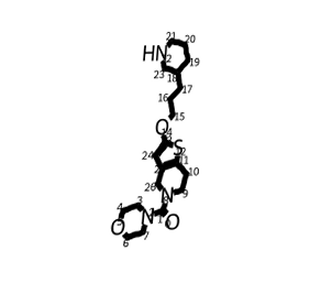 O=C(N1CCOCC1)N1CCc2sc(OCCCC3CCCNC3)cc2C1